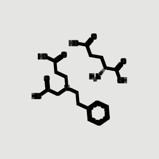 N[C@H](CCC(=O)O)C(=O)O.O=C(O)CCN(CCc1ccccc1)CC(=O)O